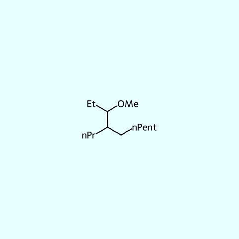 CCCCCCC(CCC)C(CC)OC